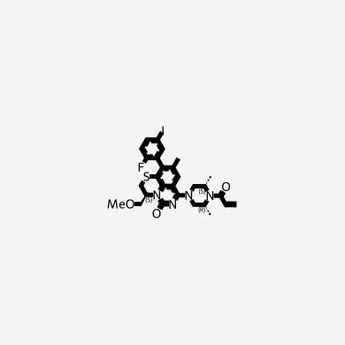 C=CC(=O)N1[C@H](C)CN(c2nc(=O)n3c4c(c(-c5cc(I)ccc5F)c(C)cc24)SC[C@@H]3COC)C[C@@H]1C